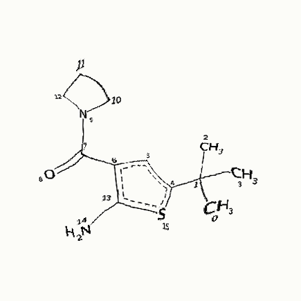 CC(C)(C)c1cc(C(=O)N2CCC2)c(N)s1